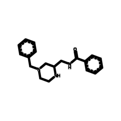 O=C(NCC1CN(Cc2ccccc2)CCN1)c1ccccc1